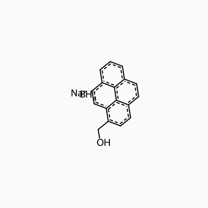 OCc1ccc2ccc3cccc4ccc1c2c34.[BH4-].[Na+]